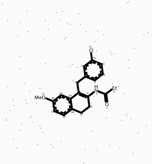 CCC(=O)NC1=C(Cc2cccc(Cl)c2)c2cc(OC)ccc2CC1